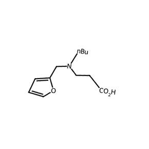 CCCCN(CCC(=O)O)Cc1ccco1